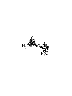 C=CS(=O)(=O)C(CCCOCCCC(S(=O)(=O)C=C)S(=O)(=O)C=C)S(=O)(=O)C=C